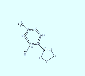 FC(F)(F)c1cnc(N2CCCC2)c(Cl)c1